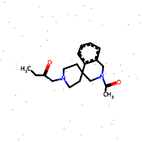 CCC(=O)CN1CCC2(CC1)CN(C(C)=O)Cc1ccccc12